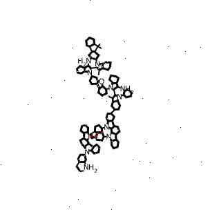 C/C=C\c1ccc(-n2c3ccccc3c3c2ccc2c4ccccc4n(-c4ccc(-n5c6ccccc6c6ccc7c8cc(-c9ccc%10c(c9)c(C)c(-c9c(N)c%11ccccc%11n9-c9cccc%11c9oc9cc(-n%12c(-c%13c(C)c%14ccccc%14n%13-c%13ccc%14c(c%13)C(C)(C)c%13ccccc%13-%14)c(N)c%13ccccc%13%12)ccc9%11)n%10-c9ccccc9)ccc8n(-c8ccc9c(c8)CC=C9)c7c65)cc4)c23)cc1N